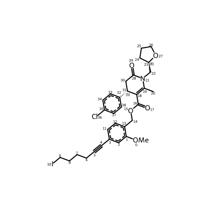 COc1cc(C#CCCCCI)ccc1COC(=O)C1=C(C)N(C[C@H]2CCCO2)C(=O)C[C@H]1c1ccc(Cl)cc1